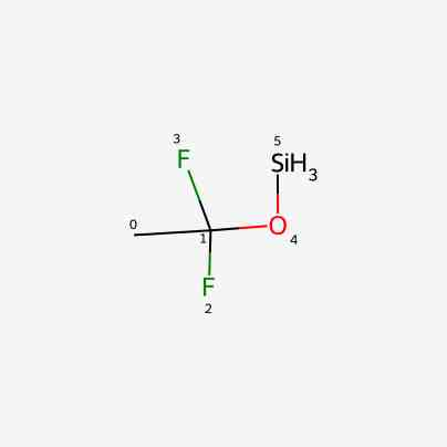 CC(F)(F)O[SiH3]